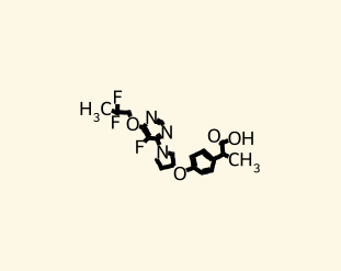 CC(C(=O)O)c1ccc(OC2CCN(c3ncnc(OCC(C)(F)F)c3F)C2)cc1